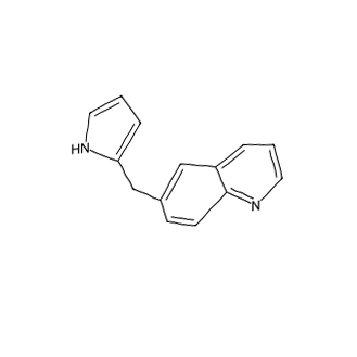 c1c[nH]c(Cc2ccc3ncccc3c2)c1